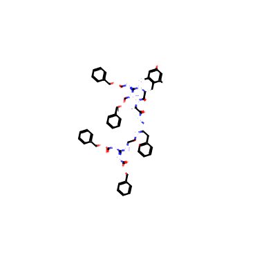 Cc1cc(O)cc(C)c1C[C@H](N/C(=N/C(=O)OCc1ccccc1)NC(=O)OCc1ccccc1)C(=O)N[C@H](C)C(=O)NC[C@H](Cc1ccccc1)NC(=O)CN/C(=N\C(=O)OCc1ccccc1)NC(=O)OCc1ccccc1